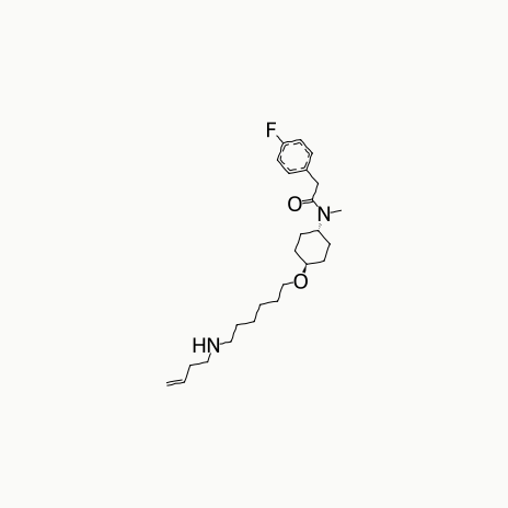 C=CCCNCCCCCCO[C@H]1CC[C@H](N(C)C(=O)Cc2ccc(F)cc2)CC1